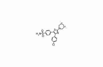 C[C@@H]1C[C@H](C)CN(c2nc(-c3ccc(Cl)cc3)c(-c3ccc(S(N)(=O)=O)cc3)s2)C1